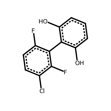 Oc1cccc(O)c1-c1c(F)ccc(Cl)c1F